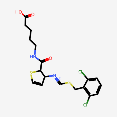 O=C(O)CCCCNC(=O)C1SC=CC1/N=C/SCc1c(Cl)cccc1Cl